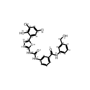 O=C(Nc1cccc(C(=O)Nc2cccc(CO)c2)c1)Nc1nnc(-c2cc(Cl)cc(Cl)c2O)s1